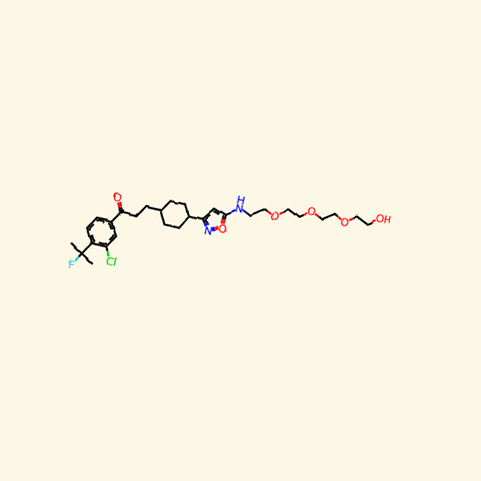 CC(C)(F)c1ccc(C(=O)CCC2CCC(c3cc(NCCOCCOCCOCCO)on3)CC2)cc1Cl